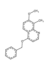 COc1ccc2c(OCc3ccccc3)ccnc2c1C